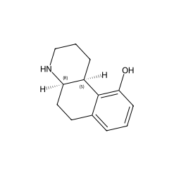 Oc1cccc2c1[C@@H]1CCCN[C@@H]1CC2